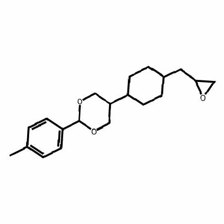 Cc1ccc(C2OCC(C3CCC(CC4CO4)CC3)CO2)cc1